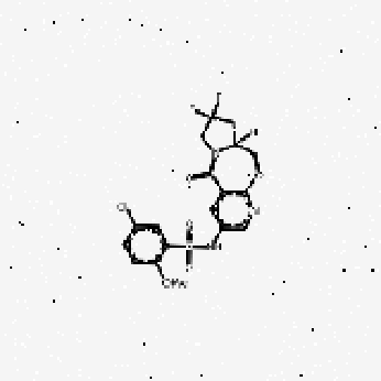 COc1ccc(Cl)cc1S(=O)(=O)Nc1cnc2c(c1)C(=O)N1CC(F)(F)C[C@@H]1CO2